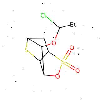 CCC(Cl)OC1C2CC3C(S2)C1OS3(=O)=O